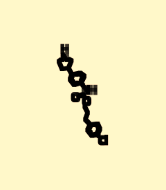 O=C(Nc1ccc(C2CCNC2)cc1)OCCCc1ccc(Cl)cc1